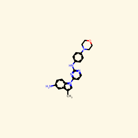 Cc1cn(-c2ccnc(Nc3ccc(N4CCOCC4)cc3)n2)c2ccc(N)cc12